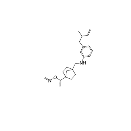 C=CC(C)Cc1cccc(NCC23CCC(C(=C)ON=C)(CC2)C3)c1